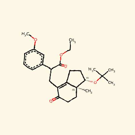 CCOC(=O)C(CC1=C2CC[C@H](OC(C)(C)C)[C@@]2(C)CCC1=O)c1cccc(OC)c1